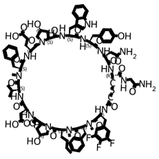 CCCC[C@H]1C(=O)N2C[C@H](O)C[C@@H]2C(=O)N[C@@H](CC(=O)O)C(=O)N[C@@H](C(C)C)C(=O)N(C)[C@@H](Cc2ccccc2)C(=O)N[C@@H](CCC(=O)O)C(=O)N2C[C@H](O)C[C@H]2C(=O)N[C@@H](Cc2c[nH]c3ccccc23)C(=O)N[C@@H](Cc2ccc(O)cc2)C(=O)N[C@@H](CC(N)=O)C(=O)N[C@H](C(=O)NCC(N)=O)CSCC(=O)N[C@@H](Cc2cc(F)c(F)c(F)c2)C(=O)N(C)[C@@H](Cc2ccccc2)C(=O)N1C